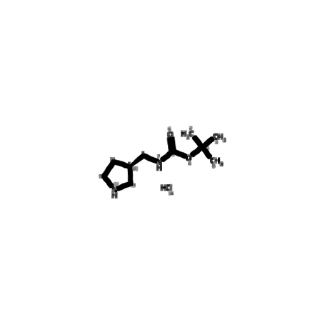 CC(C)(C)OC(=O)NC[C@@H]1CCNC1.Cl